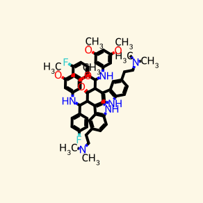 COc1cc(NC(c2ccc(F)cc2)C(C(=O)C(c2c[nH]c3ccc(CCN(C)C)cc23)C(Nc2cc(OC)cc(OC)c2)c2ccc(F)cc2)c2c[nH]c3ccc(CCN(C)C)cc23)cc(OC)c1